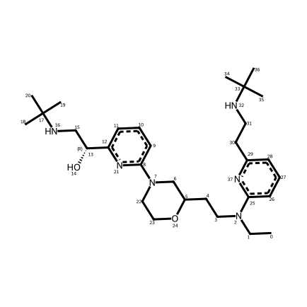 CCN(CCC1CN(c2cccc([C@H](O)CNC(C)(C)C)n2)CCO1)c1cccc(CCNC(C)(C)C)n1